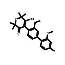 CCc1cc(-c2ccc(F)cc2OC)ccc1C1=C(O)C(C)(C)OC(C)(C)C1=O